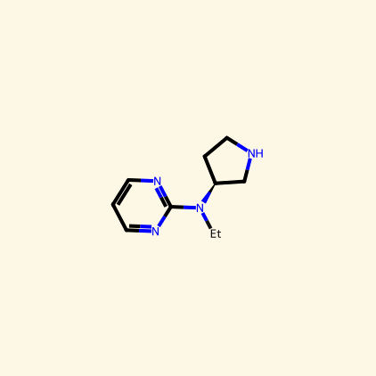 CCN(c1ncccn1)[C@H]1CCNC1